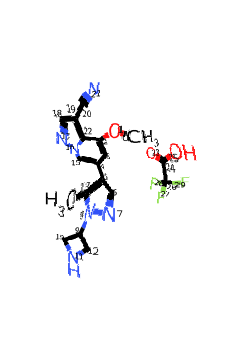 COc1cc(-c2cnn(C3CNC3)c2C)cn2ncc(C#N)c12.O=C(O)C(F)(F)F